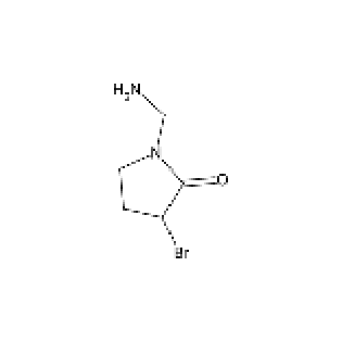 NCN1CCC(Br)C1=O